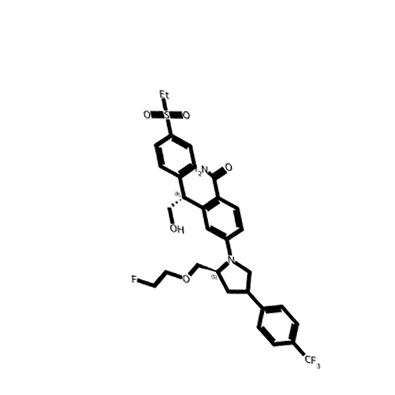 CCS(=O)(=O)c1ccc([C@@H](CO)c2cc(N3CC(c4ccc(C(F)(F)F)cc4)C[C@H]3COCCF)ccc2C(N)=O)cc1